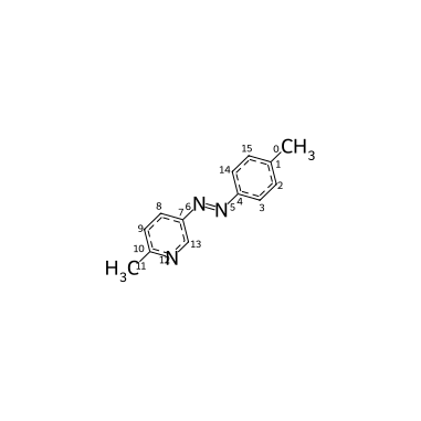 Cc1ccc(N=Nc2ccc(C)nc2)cc1